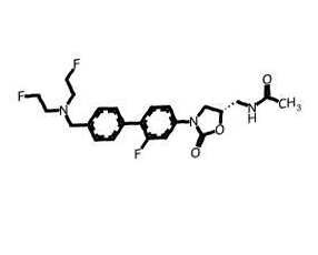 CC(=O)NC[C@H]1CN(c2ccc(-c3ccc(CN(CCF)CCF)cc3)c(F)c2)C(=O)O1